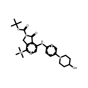 CC(C)(C)OC(=O)N1Cc2[c]([Sn]([CH3])([CH3])[CH3])ncc(Nc3ccc(N4CCC(O)CC4)cn3)c2C1=O